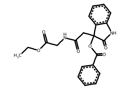 CCOC(=O)CNC(=O)CC1(OC(=O)c2ccccc2)C(=O)Nc2ccccc21